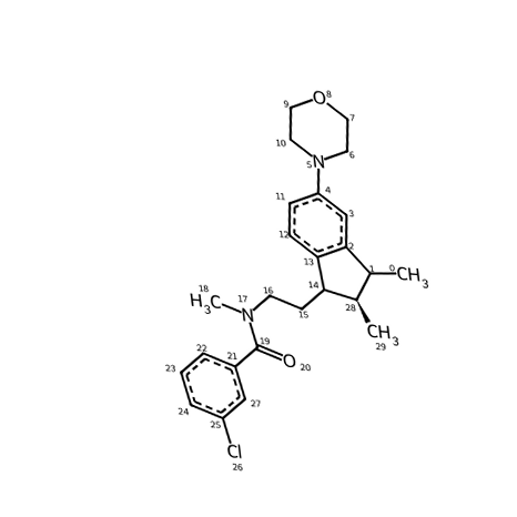 CC1c2cc(N3CCOCC3)ccc2C(CCN(C)C(=O)c2cccc(Cl)c2)[C@@H]1C